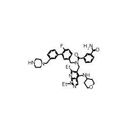 CCc1nc2c(cnn2CC)c(NC2CCOCC2)c1CN(Cc1ccc(F)c(-c2cccc(CN3CCNCC3)c2)c1)C(=O)c1cccc(C(N)=O)c1